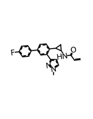 C=CC(=O)NC1CC1c1ccc(-c2ccc(F)cc2)cc1-c1ccn(C)n1